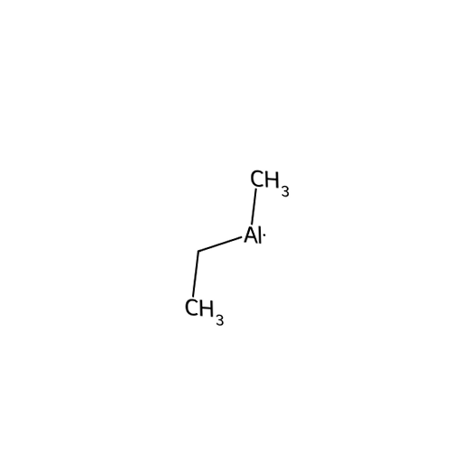 C[CH2][Al][CH3]